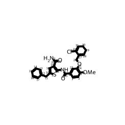 COc1ccc(C(=O)Nc2sc(Cc3ccccc3)cc2C(N)=O)cc1OCC1=CCCC=C1Cl